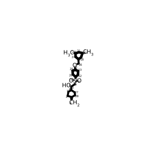 C=C1CCC(C(O)CS(=O)(=O)c2ccc(OCc3cc(C)cc(C)c3)cc2)CC1